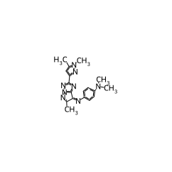 CC1=Nn2nc(-c3cc(C)n(C)n3)nc2/C1=N\c1ccc(N(C)C)cc1